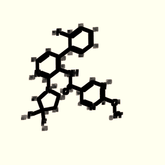 CC(C)Oc1ncc(C(=O)Nc2c(-c3ccccc3F)ccnc2N2CCC(F)(F)C2)cn1